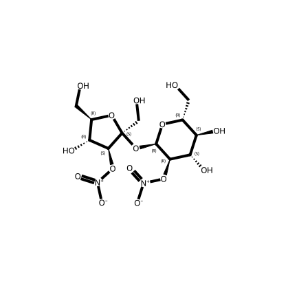 O=[N+]([O-])O[C@H]1[C@@H](O[C@]2(CO)O[C@H](CO)[C@@H](O)[C@@H]2O[N+](=O)[O-])O[C@H](CO)[C@@H](O)[C@@H]1O